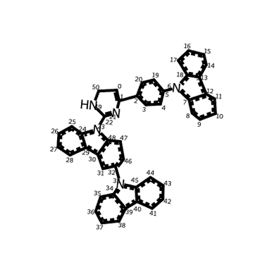 C1=C(c2ccc(-n3c4ccccc4c4ccccc43)cc2)N=C(n2c3ccccc3c3cc(-n4c5ccccc5c5ccccc54)ccc32)NC1